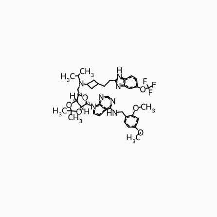 COc1ccc(CNc2ncnc3c2ccn3[C@@H]2O[C@H](CN(C(C)C)C3CC(CCc4nc5cc(OC(F)(F)F)ccc5[nH]4)C3)[C@H]3OC(C)(C)O[C@@H]32)c(OC)c1